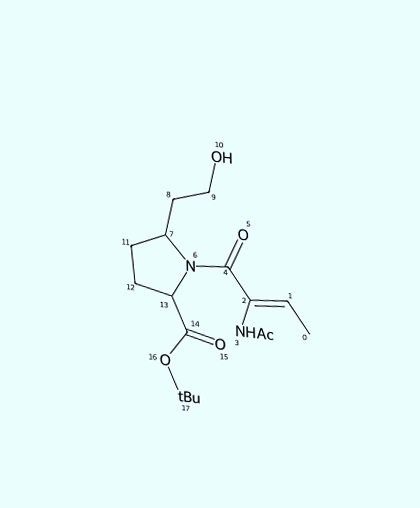 CC=C(NC(C)=O)C(=O)N1C(CCO)CCC1C(=O)OC(C)(C)C